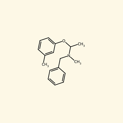 Cc1cccc(OC(C)N(C)Cc2ccccc2)c1